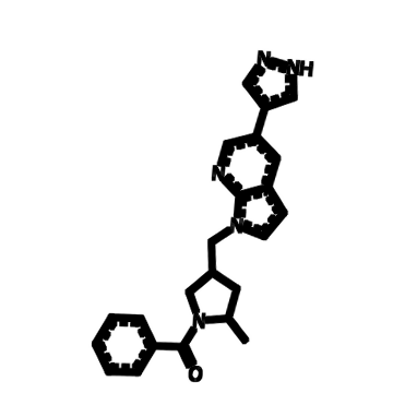 CC1CC(Cn2ccc3cc(-c4cn[nH]c4)cnc32)CN1C(=O)c1ccccc1